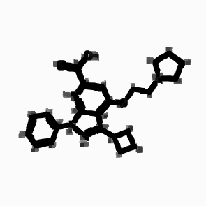 O=C(O)c1cc(OCCN2CCCC2)c2c(C3CCC3)nn(-c3ccccc3)c2n1